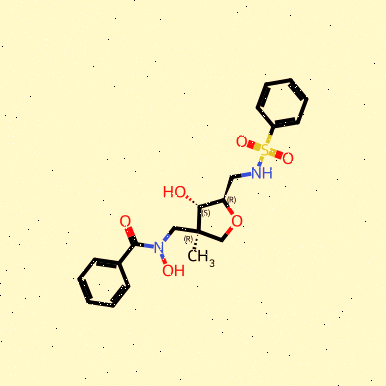 C[C@@]1(CN(O)C(=O)c2ccccc2)CO[C@H](CNS(=O)(=O)c2ccccc2)[C@H]1O